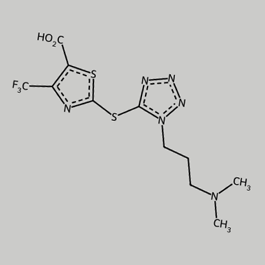 CN(C)CCCn1nnnc1Sc1nc(C(F)(F)F)c(C(=O)O)s1